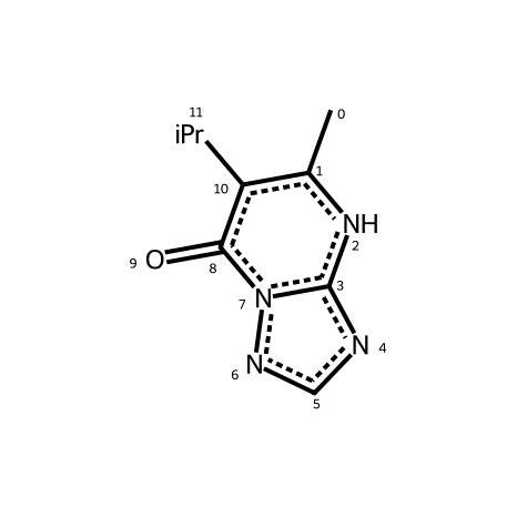 Cc1[nH]c2ncnn2c(=O)c1C(C)C